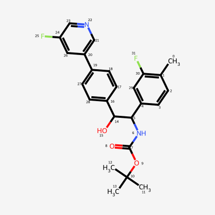 Cc1ccc(C(NC(=O)OC(C)(C)C)C(O)c2ccc(-c3cncc(F)c3)cc2)cc1F